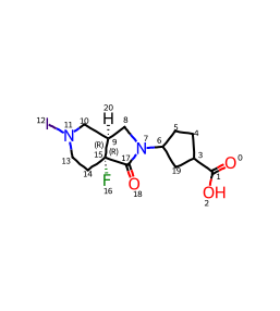 O=C(O)C1CCC(N2C[C@@H]3CN(I)CC[C@]3(F)C2=O)C1